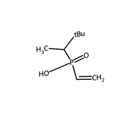 C=CP(=O)(O)C(C)C(C)(C)C